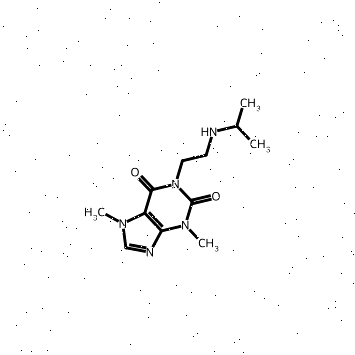 CC(C)NCCn1c(=O)c2c(ncn2C)n(C)c1=O